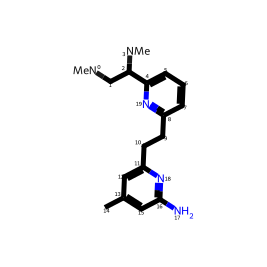 CNCC(NC)c1cccc(CCc2cc(C)cc(N)n2)n1